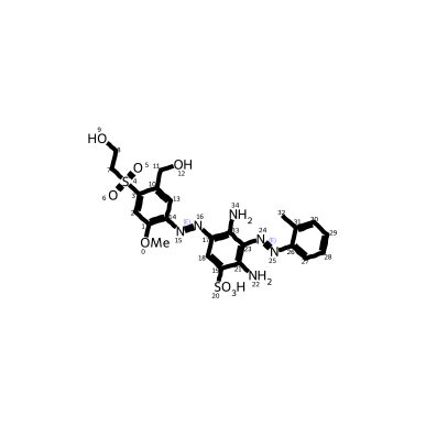 COc1cc(S(=O)(=O)CCO)c(CO)cc1/N=N/c1cc(S(=O)(=O)O)c(N)c(/N=N/c2ccccc2C)c1N